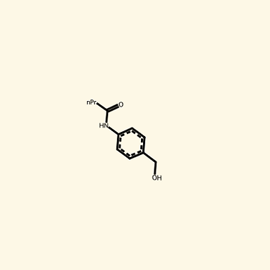 CCCC(=O)Nc1ccc(CO)cc1